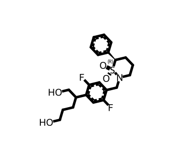 O=S1(=O)[C@@H](c2ccccc2)CCCN1Cc1cc(F)c(C(CO)CCCO)cc1F